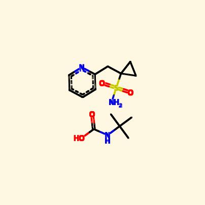 CC(C)(C)NC(=O)O.NS(=O)(=O)C1(Cc2ccccn2)CC1